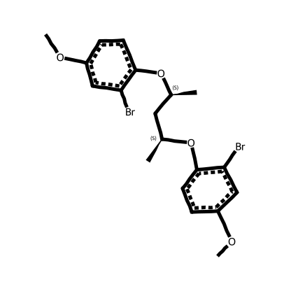 COc1ccc(O[C@@H](C)C[C@H](C)Oc2ccc(OC)cc2Br)c(Br)c1